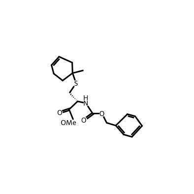 COC(=O)[C@H](CSC1(C)CC=CCC1)NC(=O)OCc1ccccc1